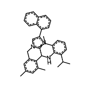 Cc1cc(C)c2c(c1)Cn1cc(-c3cccc4ccccc34)nc1C2Nc1c(C(C)C)cccc1C(C)C